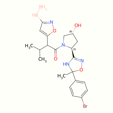 BBc1cc(C(C(=O)N2C[C@H](O)C[C@H]2C2=NOC(C)(c3ccc(Br)cc3)N2)C(C)C)on1